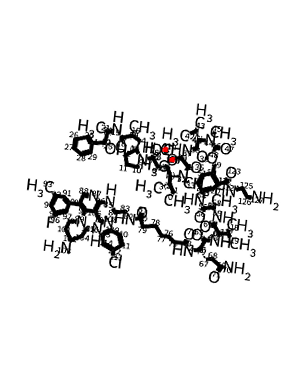 CC[C@H](C)[C@@H]([C@@H](CC(=O)N1CCC[C@H]1C[C@@H](C)C(=O)N[C@H](C)[C@@H](O)c1ccccc1)OC)N(C)C(=O)[C@@H](NC(=O)[C@H](C(C)C)N(C)C(=O)OCc1ccc(NC(=O)[C@H](C)NC(=O)[C@@H](NC(=O)[C@H](CCC(N)=O)NC(=O)CCCCCC(=O)NCCNc2ncc(-c3cc(C)cc(F)c3)c(N3CCC(N)CC3)c2-c2nc3ccc(Cl)cc3[nH]2)C(C)C)cc1C(=O)NCCN)C(C)C